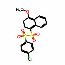 COC1=c2ccccc2=C(S(=O)(=O)S(=O)(=O)c2ccc(Cl)cc2)CC1